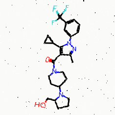 Cc1nn(-c2cccc(C(F)(F)F)c2)c(C2CC2)c1C(=O)N1CCC(N2CCCC2CO)CC1